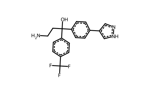 NCCC(O)(c1ccc(-c2cn[nH]c2)cc1)c1ccc(C(F)(F)F)cc1